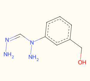 N/N=C\N(N)c1cccc(CO)c1